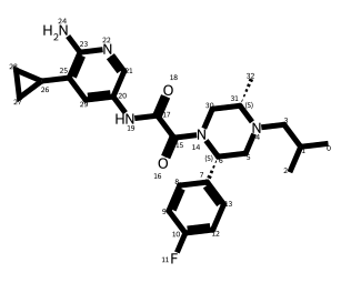 CC(C)CN1C[C@H](c2ccc(F)cc2)N(C(=O)C(=O)Nc2cnc(N)c(C3CC3)c2)C[C@@H]1C